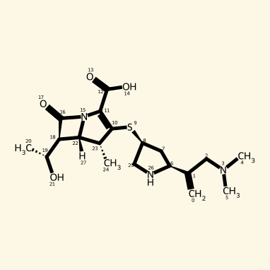 C=C(CN(C)C)[C@@H]1C[C@H](SC2=C(C(=O)O)N3C(=O)[C@H]([C@@H](C)O)[C@H]3[C@H]2C)CN1